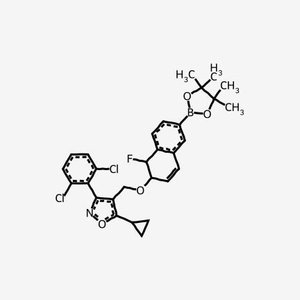 CC1(C)OB(c2ccc3c(c2)C=CC(OCc2c(-c4c(Cl)cccc4Cl)noc2C2CC2)C3F)OC1(C)C